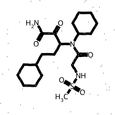 CS(=O)(=O)NCC(=O)N(C1CCCCC1)C(CCC1CCCCC1)C(=O)C(N)=O